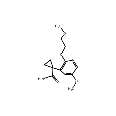 COCCOc1ncc(OC)cc1C1(C(N)=O)CC1